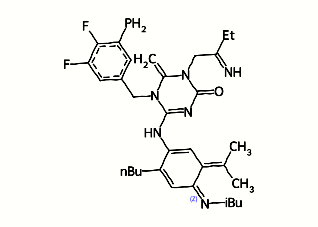 C=C1N(CC(=N)CC)C(=O)N=C(NC2=CC(=C(C)C)/C(=N\C(C)CC)C=C2CCCC)N1Cc1cc(F)c(F)c(P)c1